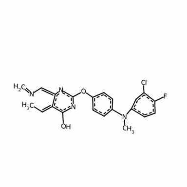 C=N/C=c1/nc(Oc2ccc(N(C)c3ccc(F)c(Cl)c3)cc2)nc(O)/c1=C/C